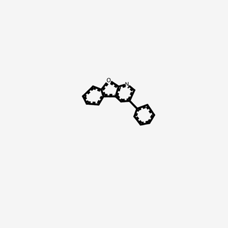 c1ccc(-c2cnc3oc4ccccc4c3c2)cc1